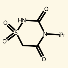 CC(C)N1C(=O)CS(=O)(=O)NC1=O